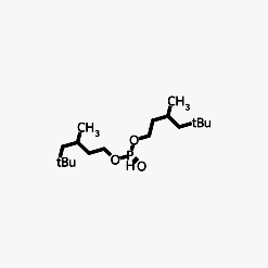 CC(CCO[PH](=O)OCCC(C)CC(C)(C)C)CC(C)(C)C